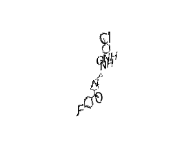 O=C(NCC1CC1CN1CCC(C(=O)c2ccc(F)cc2)CC1)Nc1ccc(Cl)cc1